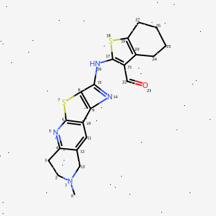 CN1CCc2nc3sc4c(c3cc2C1)N=C4Nc1sc2c(c1C=O)CCCC2